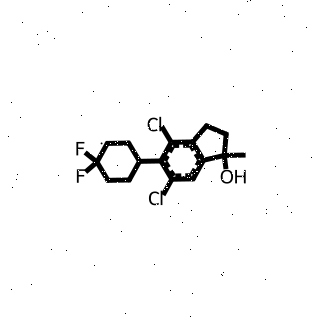 CC1(O)CCc2c1cc(Cl)c(C1C[CH]C(F)(F)CC1)c2Cl